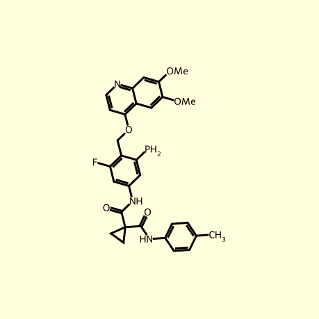 COc1cc2nccc(OCc3c(F)cc(NC(=O)C4(C(=O)Nc5ccc(C)cc5)CC4)cc3P)c2cc1OC